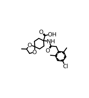 Cc1cc(Cl)cc(C)c1CC(=O)NC1(C(=O)O)CCC2(CC1)OCC(C)O2